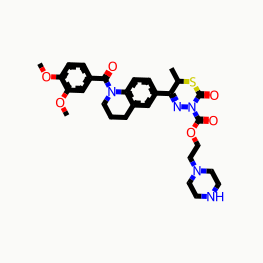 COc1ccc(C(=O)N2CCCc3cc(C4=NN(C(=O)OCCN5CCNCC5)C(=O)SC4C)ccc32)cc1OC